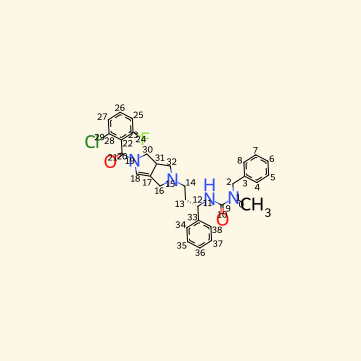 CN(Cc1ccccc1)C(=O)N[C@@H](CCN1CC2=CN(C(=O)c3c(F)cccc3Cl)CC2C1)c1ccccc1